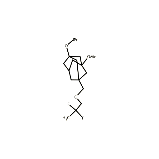 COC12CC3CC(COCC(C)(F)F)(C1)CC(OC(C)C)(C3)C2